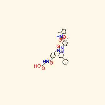 Cc1ccccc1NS(=O)(=O)c1cc(NC(=O)N(Cc2ccc(C(=O)NCCC(=O)O)cc2)C2CCC(C3CCCCC3)CC2)ccc1C